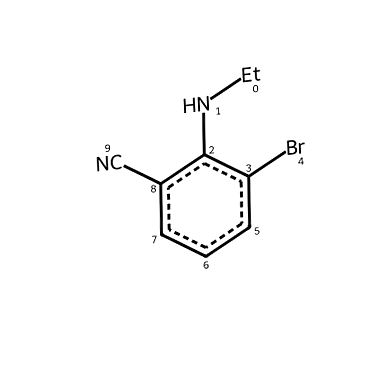 CCNc1c(Br)cccc1C#N